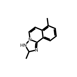 Cc1cccc2c1C=CN1NC(C)N=C21